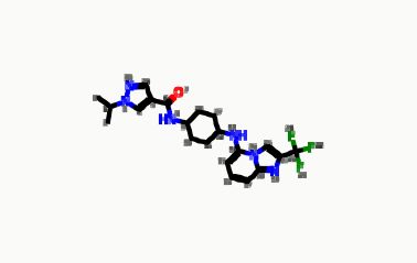 CC(C)n1cc(C(=O)NC2CCC(Nc3cccc4nc(C(F)(F)F)cn34)CC2)cn1